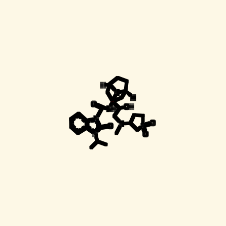 CC(C)n1c(=O)n(C(=O)N[C@@H]2C[C@H]3CC[C@@H](C2)N3CC(O)CN(C)C2CCS(=O)(=O)C2)c2ccccc21